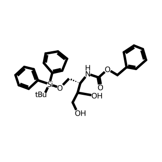 CC(C)(C)[Si](OC[C@H](NC(=O)OCc1ccccc1)C(O)CO)(c1ccccc1)c1ccccc1